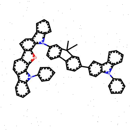 CC1(C)c2cc(-c3ccc4c(c3)c3ccccc3n4-c3ccccc3)ccc2-c2ccc(-n3c4ccccc4c4ccc5c6ccc7c8ccccc8n(-c8ccccc8)c7c6oc5c43)cc21